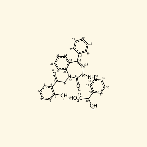 Cc1ccccc1C(=O)CN1C(=O)C(N)N=C(c2ccccc2)c2ccccc21.O=C(O)C(O)c1ccccc1